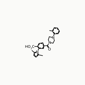 Cc1ccccc1N1CCN(C(=O)c2ccc(C(=O)O)c(-n3c(C)ccc3C)c2)CC1